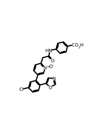 O=C(Cc1ccc(-c2cc(Cl)ccc2-c2cnco2)c[n+]1[O-])Nc1ccc(C(=O)O)cc1